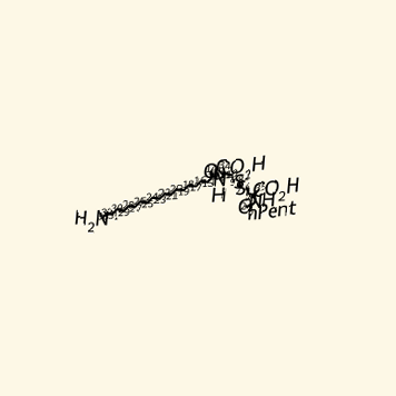 CCCCCC(=O)NC(CCSSCCC(NC(=O)CCCCCCCCCCCCCCCCCCN)C(=O)O)C(=O)O